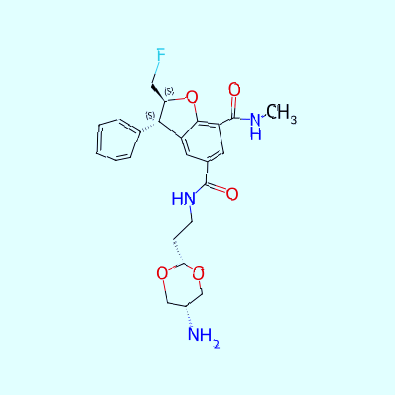 CNC(=O)c1cc(C(=O)NCC[C@H]2OC[C@@H](N)CO2)cc2c1O[C@H](CF)[C@H]2c1ccccc1